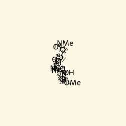 CNC(=O)c1cccc(-c2ccc(S(=O)(=O)Cc3cn([C@@H](Cc4ccc(OC)cc4)C(=O)NO)nn3)s2)c1